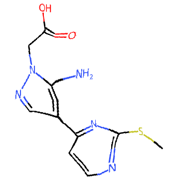 CSc1nccc(-c2cnn(CC(=O)O)c2N)n1